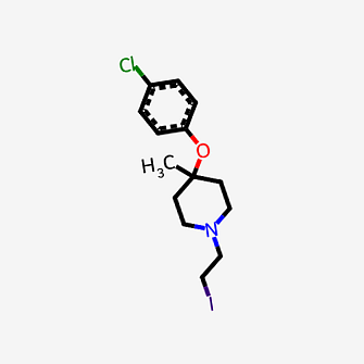 CC1(Oc2ccc(Cl)cc2)CCN(CCI)CC1